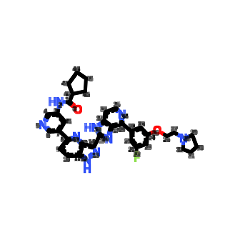 O=C(Nc1cncc(-c2ccc3[nH]nc(-c4nc5c(-c6cc(F)cc(OCCN7CCCC7)c6)nccc5[nH]4)c3n2)c1)C1CCCC1